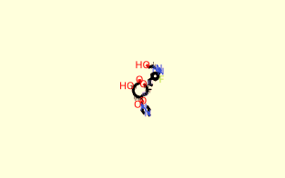 C/C(=C\c1cc(F)c2nnn([C@@H](C)CO)c2c1)[C@H]1OC(=O)C[C@@H](O)CC[C@@H](C)[C@H](OC(=O)N2CCN(C)CC2)/C=C/[C@@H]1C